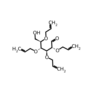 C=CCO[C@@H]([C@H](OCC=C)[C@@H](CO)OCC=C)[C@H](C=O)OCC=C